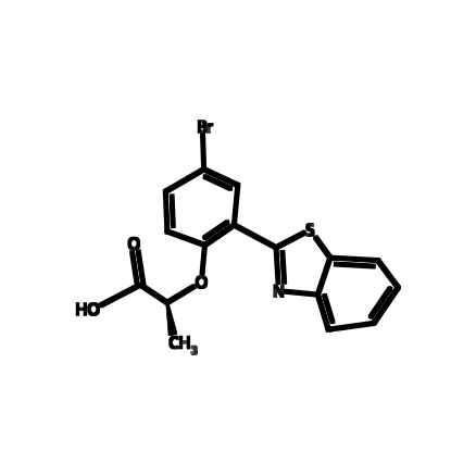 C[C@H](Oc1ccc(Br)cc1-c1nc2ccccc2s1)C(=O)O